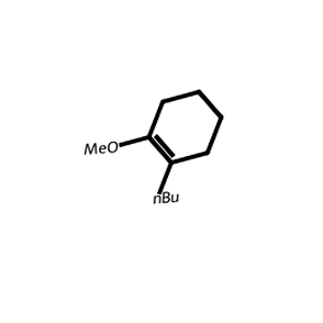 CCCCC1=C(OC)CCCC1